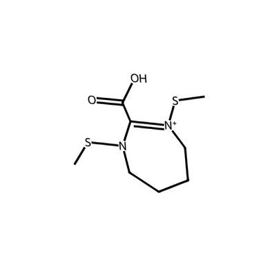 CSN1CCCC[N+](SC)=C1C(=O)O